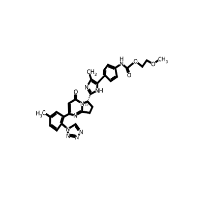 COCCOC(=O)Nc1ccc(-c2[nH]c([C@@H]3CCc4nc(-c5cc(C)ccc5-n5cnnn5)cc(=O)n43)nc2C)cc1